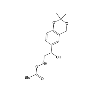 CC1(C)OCc2cc(C(O)CNOC(=O)C(C)(C)C)ccc2O1